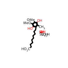 COc1c(O)c(C)c(CCCCCCCCCC(=O)O)c(O)c1OC.O=S(=O)(O)O.O=S(=O)(O)O